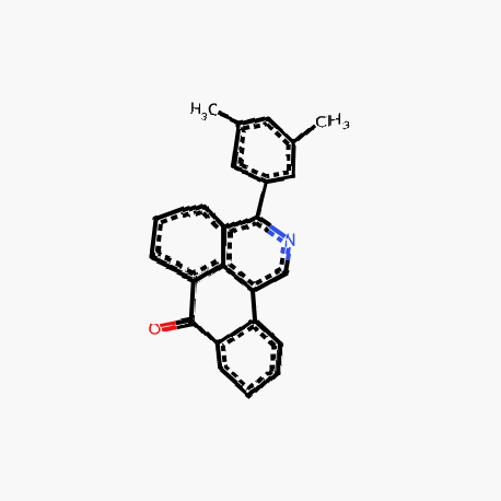 Cc1cc(C)cc(-c2ncc3c4c(cccc24)C(=O)c2ccccc2-3)c1